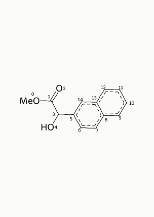 COC(=O)C(O)c1ccc2ccccc2c1